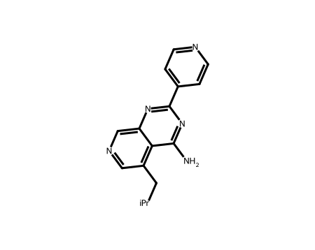 CC(C)Cc1cncc2nc(-c3ccncc3)nc(N)c12